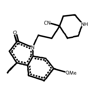 [C-]#[N+]C1(CCn2c(=O)cc(C)c3ccc(OC)cc32)CCNCC1